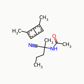 CCCC(C)(C#N)NC(C)=O.Cc1cc2cc(C)c1-2